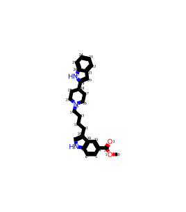 COC(=O)c1ccc2[nH]cc(CCCCN3CCC(c4cc5ccccc5[nH]4)CC3)c2c1